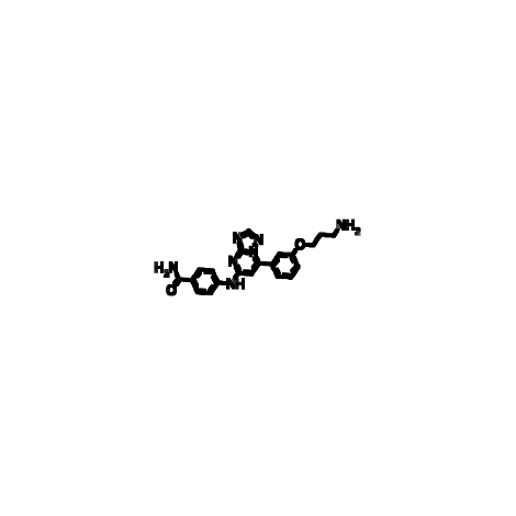 NCCCOc1cccc(-c2cc(Nc3ccc(C(N)=O)cc3)nc3ncnn23)c1